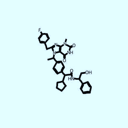 CC(c1ccc(C(C(=O)NC(CO)c2ccccc2)C2CCCC2)cc1)n1c(Cc2ccc(F)cc2)nc2c1c(=O)[nH]c(=O)n2C